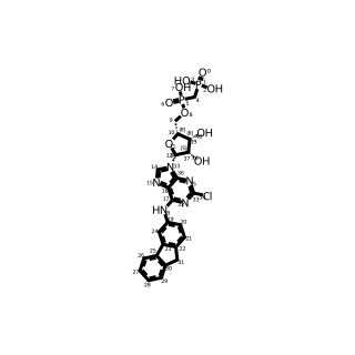 O=P(O)(O)CP(=O)(O)OC[C@H]1O[C@@H](n2cnc3c(Nc4ccc5c(c4)-c4ccccc4C5)nc(Cl)nc32)[C@@H](O)[C@H]1O